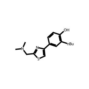 CCCCc1cc(-c2csc(CN(C)C)n2)ccc1O